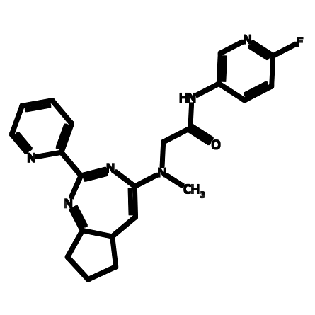 CN(CC(=O)Nc1ccc(F)nc1)C1=CC2CCCC2=NC(c2ccccn2)=N1